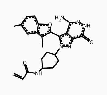 C=CC(=O)NC1CCC(n2nc3c(=O)[nH]nc(N)c3c2-c2oc3ccc(C)cc3c2C)CC1